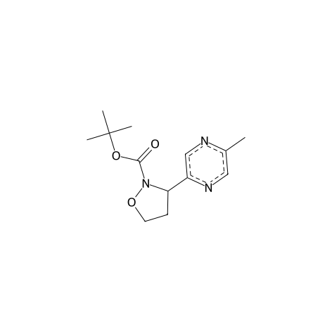 Cc1cnc(C2CCON2C(=O)OC(C)(C)C)cn1